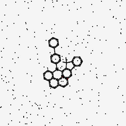 CC1(C)c2ccccc2-c2cccc(N(c3ccc(-c4ccccc4)cc3)c3cccc4ccc5cccnc5c34)c21